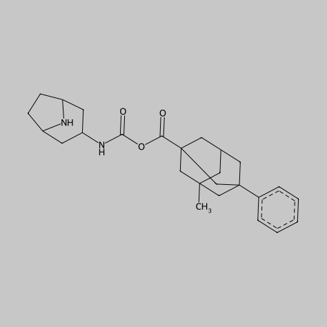 CC12CC3CC(C(=O)OC(=O)NC4CC5CCC(C4)N5)(C1)CC(c1ccccc1)(C3)C2